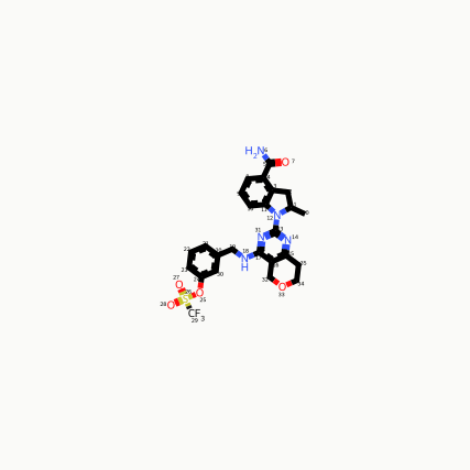 CC1Cc2c(C(N)=O)cccc2N1c1nc2c(c(NCc3cccc(OS(=O)(=O)C(F)(F)F)c3)n1)COCC2